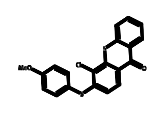 COc1ccc(Sc2ccc3c(=O)c4ccccc4sc3c2Cl)cc1